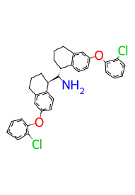 NC([C@@H]1CCCc2cc(Oc3ccccc3Cl)ccc21)[C@@H]1CCCc2cc(Oc3ccccc3Cl)ccc21